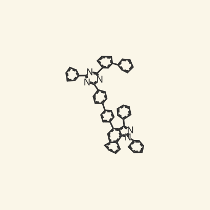 c1ccc(-c2cccc(-c3nc(-c4ccccc4)nc(-c4ccc(-c5ccc(-c6cc7ccccc7c7c6c(-c6ccccc6)nn7-c6ccccc6)cc5)cc4)n3)c2)cc1